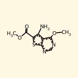 COC(=O)c1sc2ncnc(OC)c2c1N